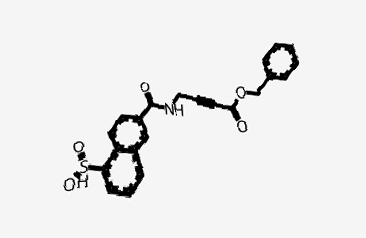 O=C(C#CCNC(=O)c1ccc2c([SH](=O)=O)cccc2c1)OCc1ccccc1